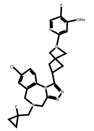 COc1cc(N2CC3(CC(c4nnc5n4-c4ccc(Cl)cc4CN(CC4(F)CC4)C5)C3)C2)ncc1F